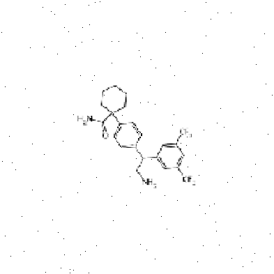 NCC(c1ccc(C2(C(N)=O)CCCCC2)cc1)c1cc(C(F)(F)F)cc(C(F)(F)F)c1